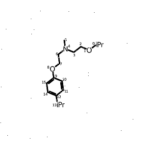 CC(C)OCCN(C)CCOc1ccc(C(C)C)cc1